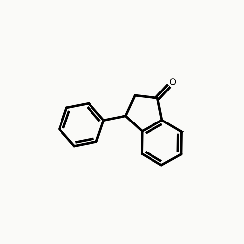 O=C1CC(c2ccccc2)c2ccc[c]c21